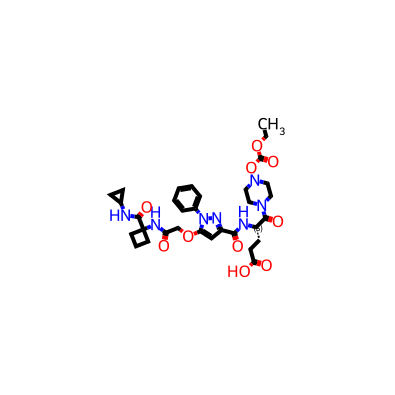 CCOC(=O)ON1CCN(C(=O)[C@H](CCC(=O)O)NC(=O)c2cc(OCC(=O)NC3(C(=O)NC4CC4)CCC3)n(-c3ccccc3)n2)CC1